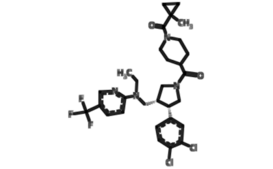 CCN(C[C@@H]1CN(C(=O)C2CCN(C(=O)C3(C)CC3)CC2)C[C@@H]1c1ccc(Cl)c(Cl)c1)c1ccc(C(F)(F)F)cn1